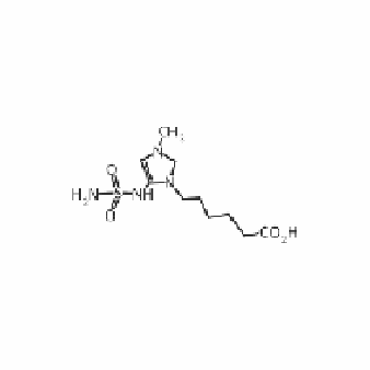 CN1C=C(NS(N)(=O)=O)N(CCCCCC(=O)O)C1